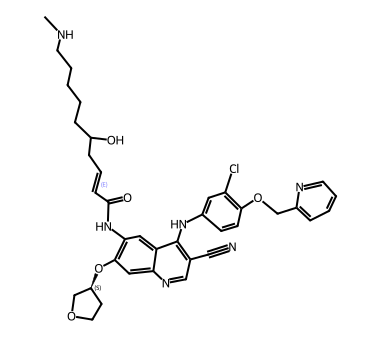 CNCCCCCC(O)C/C=C/C(=O)Nc1cc2c(Nc3ccc(OCc4ccccn4)c(Cl)c3)c(C#N)cnc2cc1O[C@H]1CCOC1